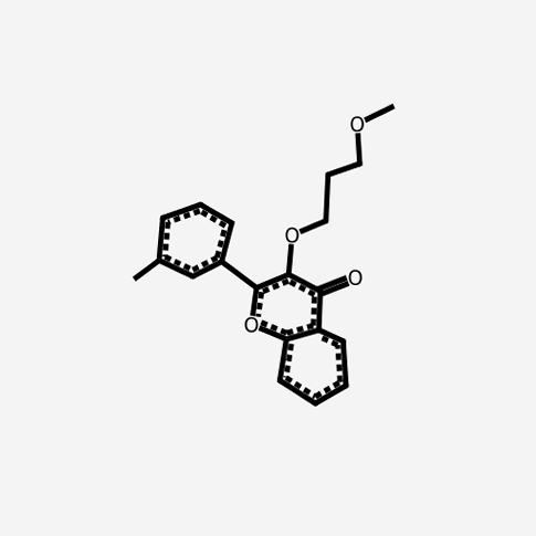 COCCCOc1c(-c2cccc(C)c2)oc2ccccc2c1=O